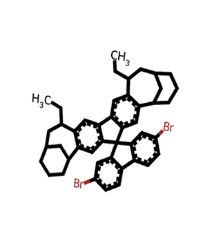 CCC1CC2CCCC(C2)c2cc3c(cc21)-c1cc2c(cc1C31c3cc(Br)ccc3-c3ccc(Br)cc31)C1CCCC(CC2CC)C1